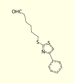 O=CCCCCCSc1nc(-c2ccccc2)cs1